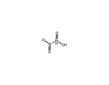 O=[N+]([O-])[AsH](=O)O